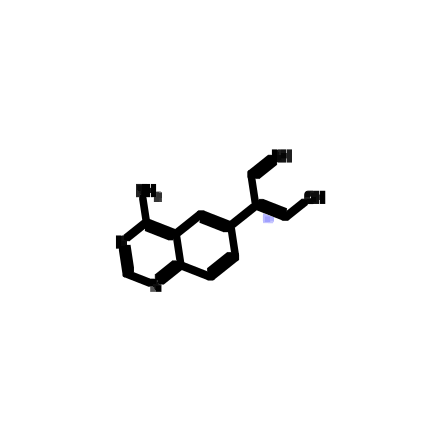 N=C/C(=C\O)c1ccc2ncnc(N)c2c1